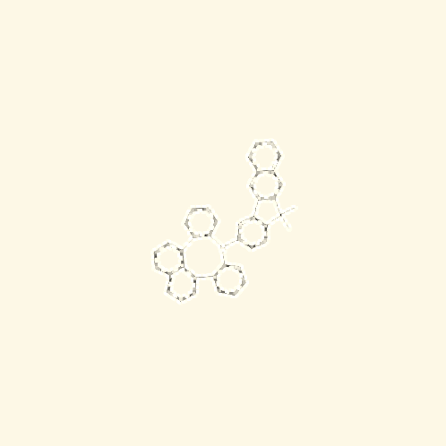 CC1(C)c2ccc(N3c4ccccc4-c4cccc5cccc(c45)-c4ccccc43)cc2-c2cc3ccccc3cc21